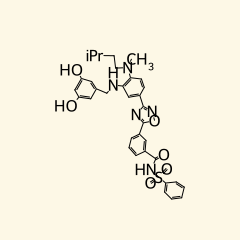 CC(C)CCN(C)c1ccc(-c2noc(-c3cccc(C(=O)NS(=O)(=O)c4ccccc4)c3)n2)cc1NCc1cc(O)cc(O)c1